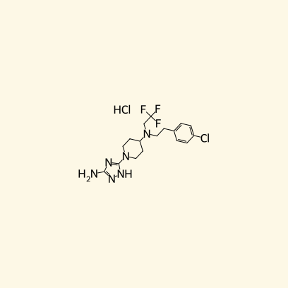 Cl.Nc1n[nH]c(N2CCC(N(CCc3ccc(Cl)cc3)CC(F)(F)F)CC2)n1